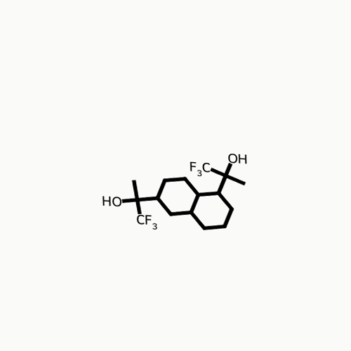 CC(O)(C1CCC2C(CCCC2C(C)(O)C(F)(F)F)C1)C(F)(F)F